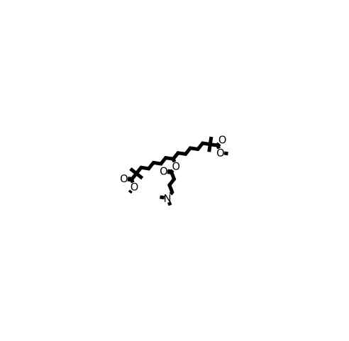 COC(=O)C(C)(C)CCCCCC(CCCCCC(C)(C)C(=O)OC)OC(=O)CCCN(C)C